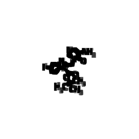 CC(C)(C)OC(=O)n1c(Cn2cncc(N)c2=O)nc2cc(F)ccc21